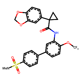 CNS(=O)(=O)c1ccc(-c2ccc(OC(F)(F)F)c(NC(=O)C3(c4ccc5c(c4)OCO5)CC3)c2)cc1